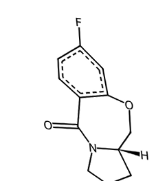 O=C1c2ccc(F)cc2OC[C@@H]2CCCN12